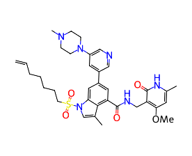 C=CCCCCCS(=O)(=O)n1cc(C)c2c(C(=O)NCc3c(OC)cc(C)[nH]c3=O)cc(-c3cncc(N4CCN(C)CC4)c3)cc21